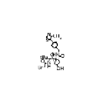 Cc1ncsc1-c1ccc(CNC(=O)[C@@H]2C[C@@H](O)CN2C(=O)[C@@H](NC(=O)CBr)C(C)(C)C)cc1